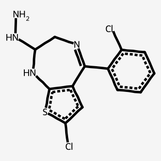 NNC1CN=C(c2ccccc2Cl)c2cc(Cl)sc2N1